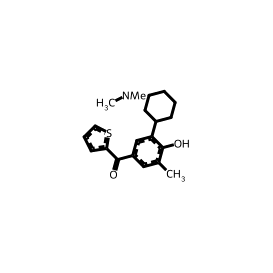 CNC.Cc1cc(C(=O)c2cccs2)cc(C2CCCCC2)c1O